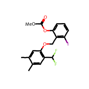 COC(=O)Oc1cccc(I)c1COc1cc(C)c(C)cc1C(F)F